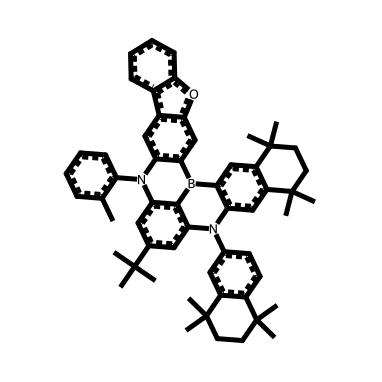 Cc1ccccc1N1c2cc3c(cc2B2c4cc5c(cc4N(c4ccc6c(c4)C(C)(C)CCC6(C)C)c4cc(C(C)(C)C)cc1c42)C(C)(C)CCC5(C)C)oc1ccccc13